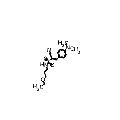 CCOCCCNS(=O)(=O)/C(C#N)=C/c1ccc(N(C)C)cc1